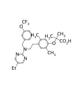 CCc1cnc(N(CCc2cc(C)c(OC(C)(C)C(=O)O)cc2C)Cc2cccc(OC(F)(F)F)c2)nc1